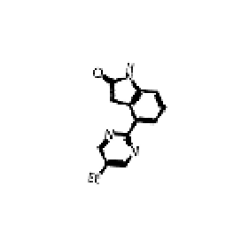 CCc1cnc(-c2cccc3c2CC(=O)N3)nc1